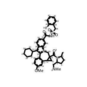 CNCC1CCC(C)N1C(=O)C12CC1c1cc(OC)ccc1-c1c(C3CCCCC3)c3ccc(C(=O)NS(=O)(=O)Cc4ccccc4F)cc3n1C2